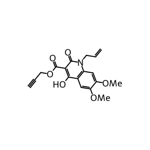 C#CCOC(=O)c1c(O)c2cc(OC)c(OC)cc2n(CC=C)c1=O